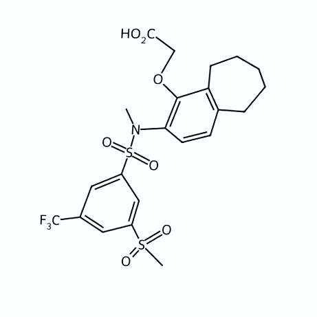 CN(c1ccc2c(c1OCC(=O)O)CCCCC2)S(=O)(=O)c1cc(C(F)(F)F)cc(S(C)(=O)=O)c1